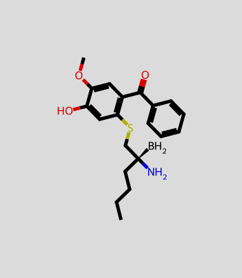 B[C@@](N)(CCCC)CSc1cc(O)c(OC)cc1C(=O)c1ccccc1